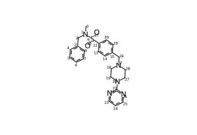 CN(Cc1ccccc1)S(=O)(=O)c1ccc(CN2CCN(c3ncccn3)CC2)cc1